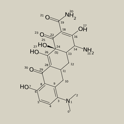 CN(C)c1ccc(O)c2c1CC1CC3C(N)C(O)=C(C(N)=O)C(=O)[C@@]3(O)C(O)=C1C2=O